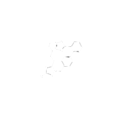 CCCCCc1nc(N)nn1Cc1ccc(-c2ccccc2-c2nnn[nH]2)cc1